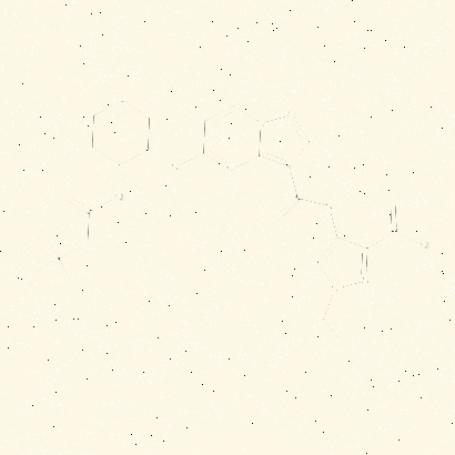 CCn1cc(NC(=O)c2cnn3ccc(N[C@H]4CCCC[C@H]4NC(=O)OC(C)(C)C)nc23)c(C(N)=O)n1